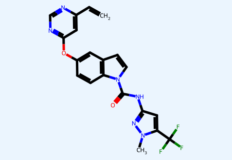 C=Cc1cc(Oc2ccc3c(ccn3C(=O)Nc3cc(C(F)(F)F)n(C)n3)c2)ncn1